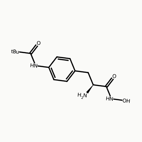 CC(C)(C)C(=O)Nc1ccc(C[C@H](N)C(=O)NO)cc1